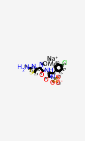 CON=C(C(=O)N[C@@H]1C(=O)N(S(=O)(=O)[O-])[C@@H]1c1ccc(Cl)cc1)c1csc(N)n1.[Na+]